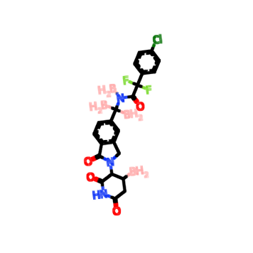 BC1CC(=O)NC(=O)C1N1Cc2cc(C(B)(B)N(B)C(=O)C(F)(F)c3ccc(Cl)cc3)ccc2C1=O